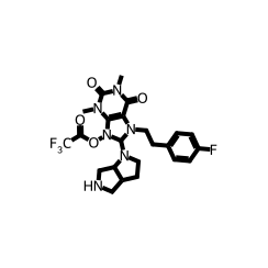 Cn1c2c(c(=O)n(C)c1=O)N(CCc1ccc(F)cc1)C(N1CCC3CNCC31)N2OC(=O)C(F)(F)F